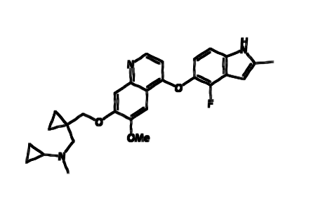 COc1cc2c(Oc3ccc4[nH]c(C)cc4c3F)ccnc2cc1OCC1(CN(C)C2CC2)CC1